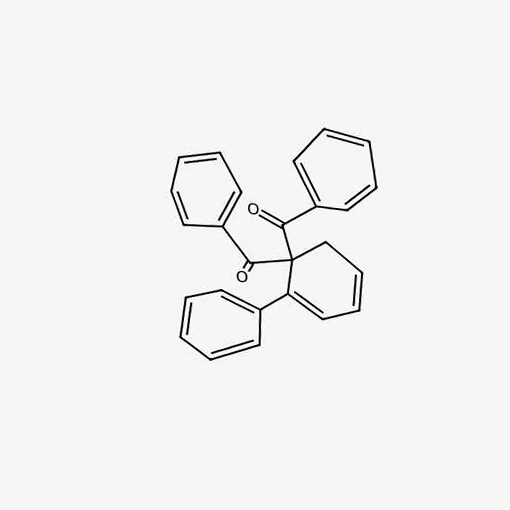 O=C(c1ccccc1)C1(C(=O)c2ccccc2)CC=CC=C1c1ccccc1